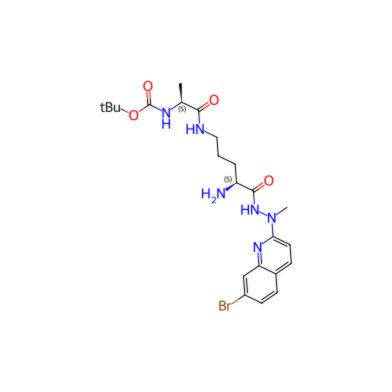 C[C@H](NC(=O)OC(C)(C)C)C(=O)NCCC[C@H](N)C(=O)NN(C)c1ccc2ccc(Br)cc2n1